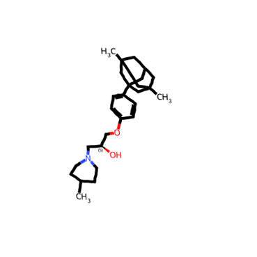 CC1CCN(C[C@H](O)COc2ccc(C34CC5CC(C)(CC(C)(C5)C3)C4)cc2)CC1